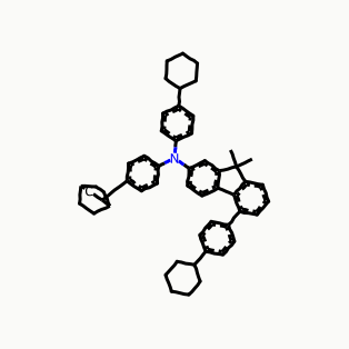 CC1(C)c2cc(N(c3ccc(C4CCCCC4)cc3)c3ccc(C4CC5CCC4CC5)cc3)ccc2-c2c(-c3ccc(C4CCCCC4)cc3)cccc21